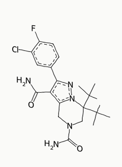 CC(C)(C)C1(C(C)(C)C)CN(C(N)=O)Cc2c(C(N)=O)c(-c3ccc(F)c(Cl)c3)nn21